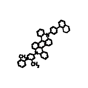 Cc1ccccc1-c1ccc(N(c2ccccc2)c2ccccc2-c2ccc(-c3ccccc3N(c3ccccc3)c3ccc(-c4cccc5c4CCC=C5)cc3)cc2)cc1C